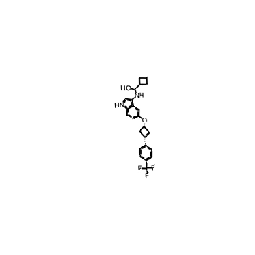 OC(Nc1c[nH]c2ccc(O[C@H]3C[C@@H](c4ccc(C(F)(F)F)cc4)C3)cc12)C1CCC1